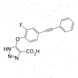 O=C(O)c1nn[nH]c1Oc1ccc(C#Cc2ccccc2)cc1F